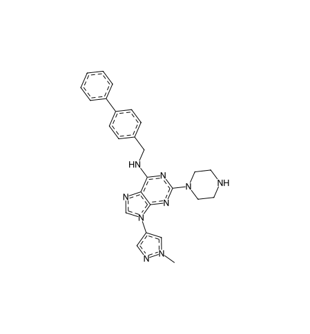 Cn1cc(-n2cnc3c(NCc4ccc(-c5ccccc5)cc4)nc(N4CCNCC4)nc32)cn1